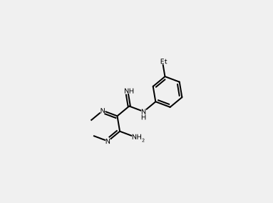 CCc1cccc(NC(=N)C(=N/C)/C(N)=N\C)c1